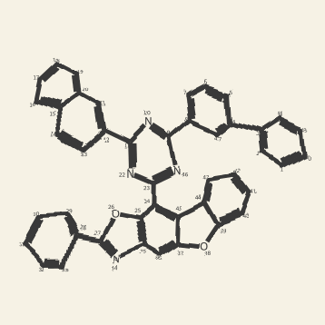 c1ccc(-c2cccc(-c3nc(-c4ccc5ccccc5c4)nc(-c4c5oc(-c6ccccc6)nc5cc5oc6ccccc6c45)n3)c2)cc1